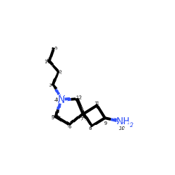 CCCCN1CCC2(CC(N)C2)C1